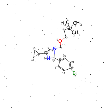 C[Si](C)(C)CCOCn1cc(C2CC2)nc1-c1ccc(Br)cc1